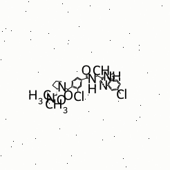 CC(NC(=O)c1ccc(C(=O)N2CCC[C@H]2C(=O)N(C)C)c(Cl)c1)c1nc2cc(Cl)ccc2[nH]1